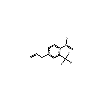 C=CCc1ccc([N+](=O)[O-])c(C(F)(F)F)c1